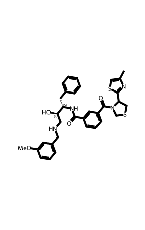 COc1cccc(CNC[C@@H](O)[C@H](Cc2ccccc2)NC(=O)c2cccc(C(=O)N3CSCC3c3nc(C)cs3)c2)c1